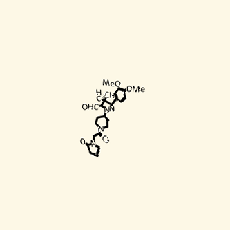 COc1ccc(C2=NN(C3CCN(C(=O)CN4CCCC4=O)CC3)C(C=O)C2(C)C)cc1OC